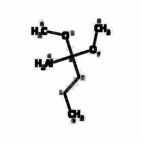 CCC[C]([AlH2])(OC)OC